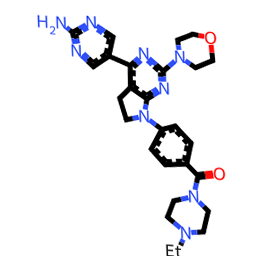 CCN1CCN(C(=O)c2ccc(N3CCc4c(-c5cnc(N)nc5)nc(N5CCOCC5)nc43)cc2)CC1